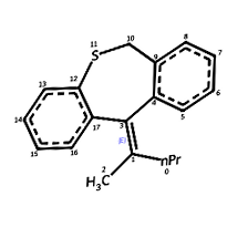 CCC/C(C)=C1\c2ccccc2CSc2ccccc21